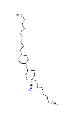 CCCCCCCCCC1CCC(C2CCC(C#N)(CCCCCCC)CC2)CC1